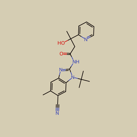 Cc1cc2nc(NC(=O)CC(C)(O)c3ccccn3)n(C(C)(C)C)c2cc1C#N